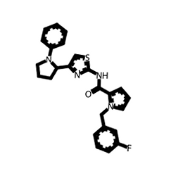 O=C(Nc1nc(C2CCCN2c2ccccc2)cs1)c1cccn1Cc1cccc(F)c1